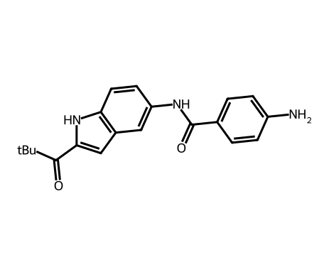 CC(C)(C)C(=O)c1cc2cc(NC(=O)c3ccc(N)cc3)ccc2[nH]1